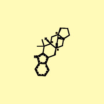 CC1(C)c2[nH]c3ccccc3c2C[C@@]23CN4CCC[C@]4(C[C@@H]12)C(=O)N3